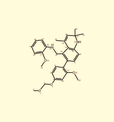 COCOc1ccc(-c2ccc3c(c2CNc2ccccc2OC)C(C)=CC(C)(C)N3)c(OC)c1